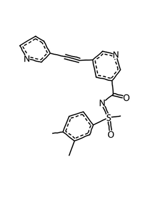 Cc1ccc(S(C)(=O)=NC(=O)c2cncc(C#Cc3cccnc3)c2)cc1C